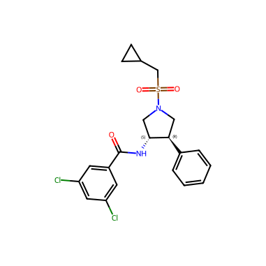 O=C(N[C@@H]1CN(S(=O)(=O)CC2CC2)C[C@H]1c1ccccc1)c1cc(Cl)cc(Cl)c1